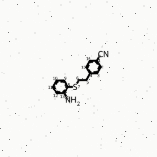 N#Cc1ccc(CCSc2ccccc2N)cc1